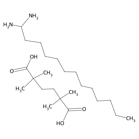 CC(C)(CCC(C)(C)C(=O)O)C(=O)O.CCCCCCCCCCCCC(N)N